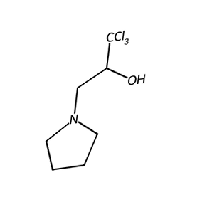 OC(CN1CCCC1)C(Cl)(Cl)Cl